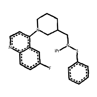 CC(C)N(CC1CCCN(c2ccnc3ccc(F)cc23)C1)Sc1ccccc1